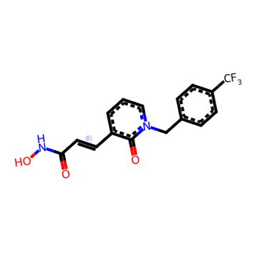 O=C(/C=C/c1cccn(Cc2ccc(C(F)(F)F)cc2)c1=O)NO